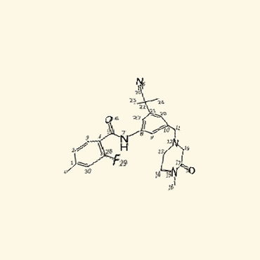 Cc1ccc(C(=O)Nc2cc(CN3CCN(C)C(=O)C3)cc(C(C)(C)C#N)c2)c(F)c1